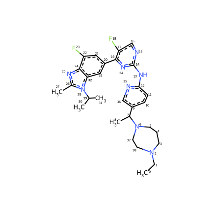 CCN1CCCN(C(C)c2ccc(Nc3ncc(F)c(-c4cc(F)c5nc(C)n(C(C)C)c5c4)n3)nc2)CC1